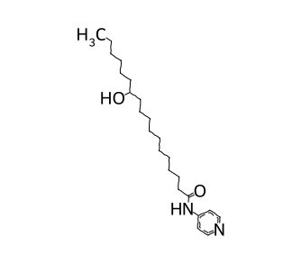 CCCCCCC(O)CCCCCCCCCCC(=O)Nc1ccncc1